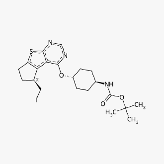 CC(C)(C)OC(=O)N[C@H]1CC[C@H](Oc2ncnc3sc4c(c23)[C@@H](CI)CC4)CC1